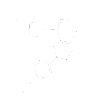 N[C@H]1CCN(C2=NCCOc3ccc(-c4ccc(C(F)(F)F)cc4)cc32)C1